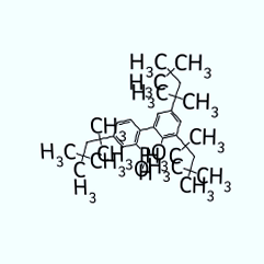 CC(C)(C)CC(C)(C)c1ccc2c(c1)[PH](=O)Oc1c-2cc(C(C)(C)CC(C)(C)C)cc1C(C)(C)CC(C)(C)C